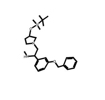 CNC(CN1CCC(O[Si](C)(C)C(C)(C)C)C1)c1cccc(OCc2ccccc2)c1